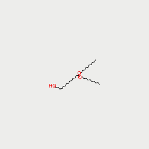 CCCCCCCCCCOC(CCCCCCCCC/C=C\CCO)OCCCCCCCCCC